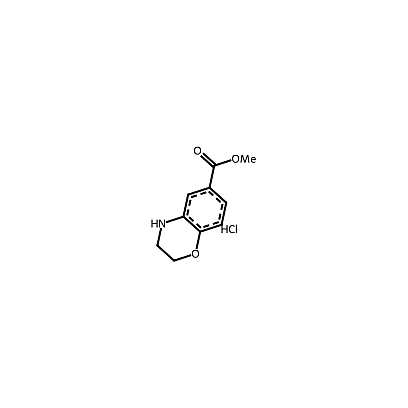 COC(=O)c1ccc2c(c1)NCCO2.Cl